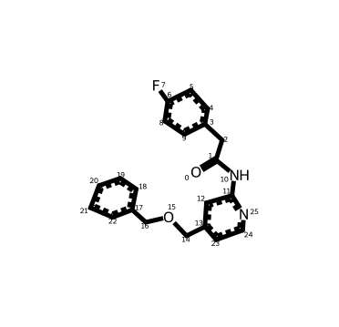 O=C(Cc1ccc(F)cc1)Nc1cc(COCc2ccccc2)ccn1